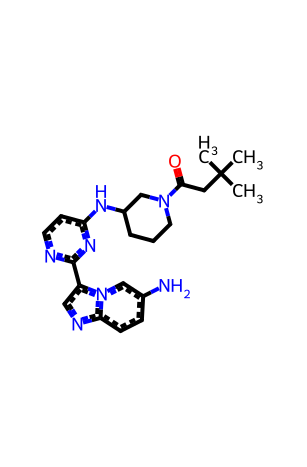 CC(C)(C)CC(=O)N1CCCC(Nc2ccnc(-c3cnc4ccc(N)cn34)n2)C1